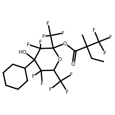 CCC(C)(C(=O)OC1(C(F)(F)F)OC(C(F)(F)F)C(F)(F)C(O)(C2CCCCC2)C1(F)F)C(F)(F)F